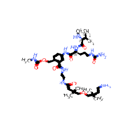 CNC(=O)OCc1ccc(NC(=O)[C@H](CCCNC(N)=O)NC(=O)[C@@H](NC)C(C)C)cc1C(=O)NCCNC(=O)CC(C)(C)COCC(C)(C)CCN